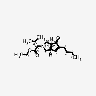 CCCCC1=C[C@H]2CN([C@H](C(=O)OCC)C(C)C)C[C@H]2C1=O